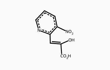 O=C(O)/C(O)=C/c1ncccc1[N+](=O)[O-]